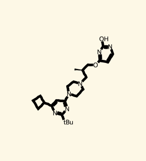 C[C@@H](COc1ccnc(O)n1)CN1CCN(c2cc(C3CCC3)nc(C(C)(C)C)n2)CC1